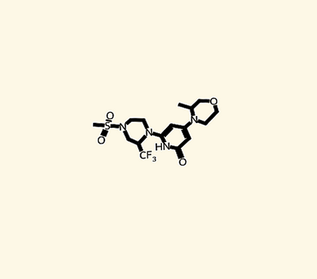 CC1COCCN1c1cc(N2CCN(S(C)(=O)=O)CC2C(F)(F)F)[nH]c(=O)c1